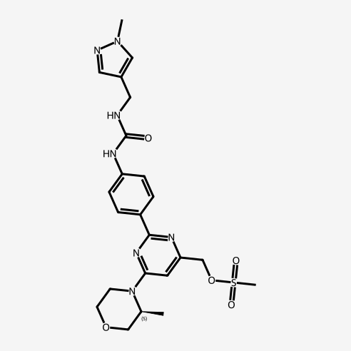 C[C@H]1COCCN1c1cc(COS(C)(=O)=O)nc(-c2ccc(NC(=O)NCc3cnn(C)c3)cc2)n1